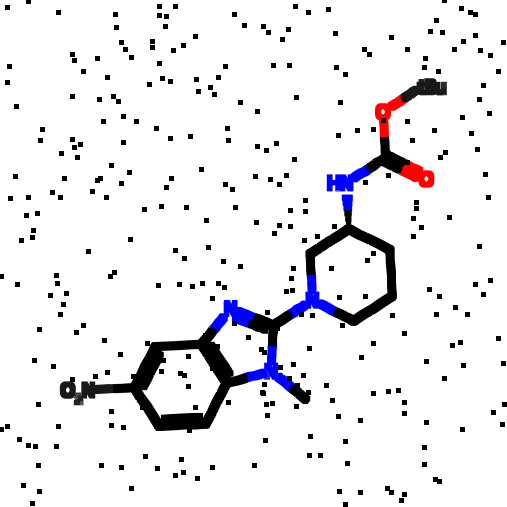 Cn1c(N2CCC[C@@H](NC(=O)OC(C)(C)C)C2)nc2cc([N+](=O)[O-])ccc21